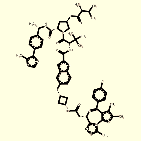 Cc1ncsc1-c1ccc([C@H](C)NC(=O)[C@@H]2C[C@@H](OC(=O)[C@@H](N)C(C)C)CN2C(=O)[C@@H](NC(=O)c2cc3cc(O[C@H]4C[C@@H](NC(=O)C[C@@H]5N=C(c6ccc(Cl)cc6)c6c(sc(C)c6C)-n6c(C)nnc65)C4)ccc3o2)C(C)(C)C)cc1